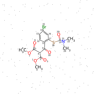 COC(=O)C(C(=O)OC)C(=O)c1ccc(Br)cc1SC(=O)N(C)C